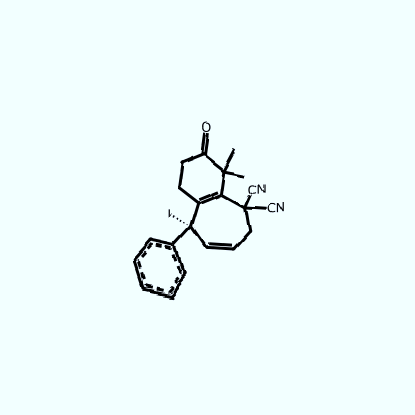 CC1(C)C(=O)CCC2=C1C(C#N)(C#N)CC=C[C@@]2(I)c1ccccc1